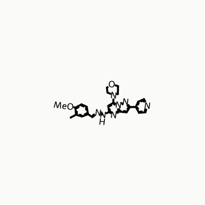 COc1ccc(C=NNc2cc(N3CCOCC3)n3nc(-c4ccncc4)cc3n2)cc1C